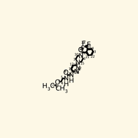 CC(C)OCCNC(=O)Nc1ccc(N2CCN(C(=O)c3ccccc3C(F)(F)F)CC2)nn1